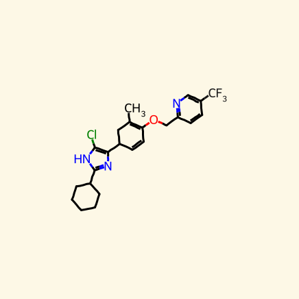 CC1=C(OCc2ccc(C(F)(F)F)cn2)C=CC(c2nc(C3CCCCC3)[nH]c2Cl)C1